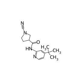 CC(C)(C)c1ccnc(NC(=O)C2CCN(C#N)C2)c1